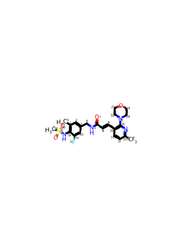 Cc1cc(CNC(=O)C=Cc2ccc(C(F)(F)F)nc2N2CCOCC2)cc(F)c1NS(C)(=O)=O